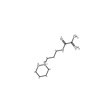 C=C(C)C(=O)OCCC[SiH]1CCCCO1